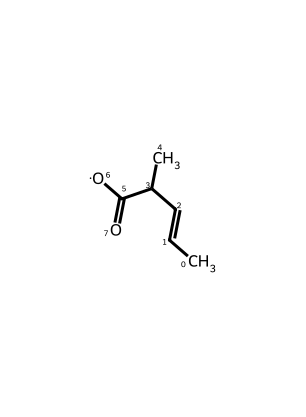 CC=CC(C)C([O])=O